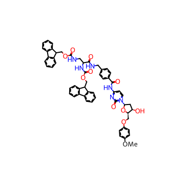 COc1ccc(OC[C@H]2O[C@@H](n3ccc(NC(=O)c4ccc(CNC(=O)C(CNC(=O)OCC5c6ccccc6-c6ccccc65)NC(=O)OCC5c6ccccc6-c6ccccc65)cc4)nc3=O)C[C@H]2O)cc1